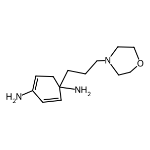 NC1=CCC(N)(CCCN2CCOCC2)C=C1